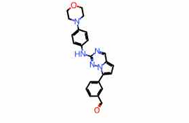 O=Cc1cccc(-c2ccc3cnc(Nc4ccc(N5CCOCC5)cc4)nn23)c1